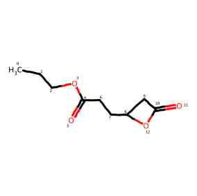 CCCOC(=O)CCC1CC(=O)O1